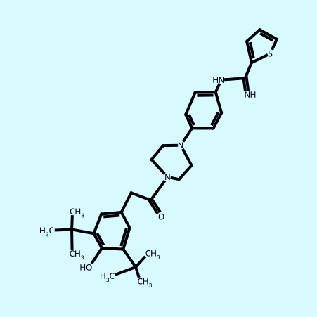 CC(C)(C)c1cc(CC(=O)N2CCN(c3ccc(NC(=N)c4cccs4)cc3)CC2)cc(C(C)(C)C)c1O